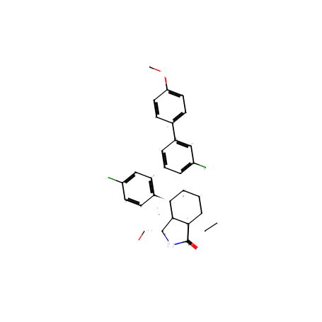 CC[C@@]12CC[C@@H](c3ccc(-c4ccc(OC)cc4)cc3Cl)[C@H](c3ccc(Cl)cc3)[C@@H]1[C@@H](CO)NC2=O